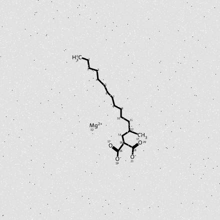 CCCCCCCCCCCCC(C)CC(C(=O)[O-])C(=O)[O-].[Mg+2]